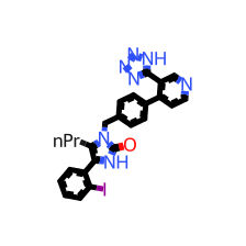 CCCc1c(-c2ccccc2I)[nH]c(=O)n1Cc1ccc(-c2ccncc2-c2nnn[nH]2)cc1